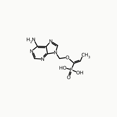 C/C=C(\OCn1cnc2c(N)ncnc21)P(=O)(O)O